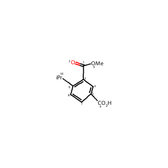 COC(=O)c1cc(C(=O)O)ccc1C(C)C